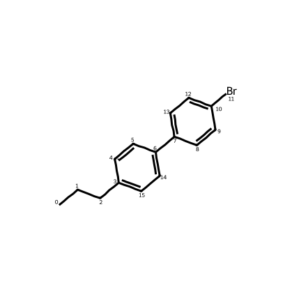 CCCc1[c]cc(-c2ccc(Br)cc2)cc1